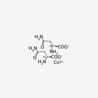 NC(=O)C[C@H](N)C(=O)[O-].NC(=O)C[C@H](N)C(=O)[O-].[Co+2]